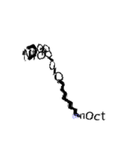 CCCCCCCC/C=C\CCCCCCCCOCCOCCOP(=O)(O)OC1CC[N+](C)(C)CC1